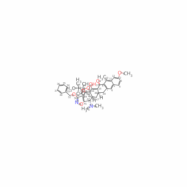 COc1ccc2cc3c(c(C)c2c1)C(=O)C1=C(O)[C@]2(O[Si](C)(C)C(C)(C)C)C(=O)c4c(OCc5ccccc5)noc4[C@@H](N(C)C)[C@@H]2C[C@@H]1C3